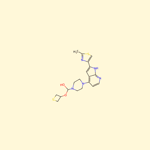 Cc1nc(-c2cc3c(N4CCN(C(O)OC5CSC5)CC4)ccnc3[nH]2)cs1